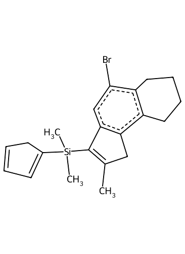 CC1=C([Si](C)(C)C2=CC=CC2)c2cc(Br)c3c(c2C1)CCCC3